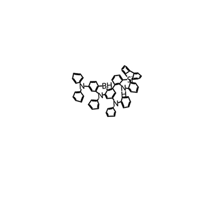 B1c2ccc(N(c3ccccc3)c3ccccc3)cc2N(c2ccccc2)c2cc(N(c3ccccc3)c3ccccc3)cc(-c3cccc4c3Nc3ccccc3[Si]43c4ccccc4-c4ccccc43)c21